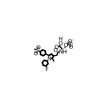 Cc1c(CC(=O)N[C@@H](CO[N+](=O)[O-])C(=O)O)cc(-c2ccc(S(C)(=O)=O)cc2)n1-c1cccc(F)c1